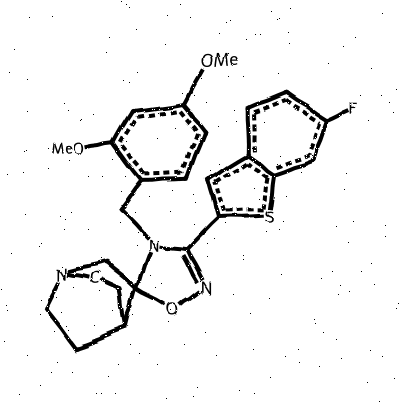 COc1ccc(CN2C(c3cc4ccc(F)cc4s3)=NOC23CN2CCC3CC2)c(OC)c1